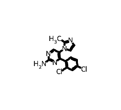 Cc1nccn1-c1cnc(N)nc1-c1ccc(Cl)cc1Cl